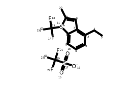 CCc1cccc2c1cc(C)[s+]2C(F)(F)F.O=S(=O)([O-])C(F)(F)F